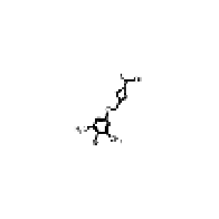 Cc1cc(OCC2CN(C(=O)O)C2)cc(C)c1Br